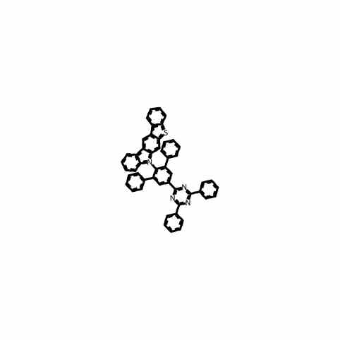 c1ccc(-c2nc(-c3ccccc3)nc(-c3cc(-c4ccccc4)c(-n4c5ccccc5c5cc6c(cc54)sc4ccccc46)c(-c4ccccc4)c3)n2)cc1